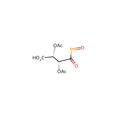 CC(=O)O[C@@H](C(=O)O)[C@@H](OC(C)=O)C(=O)P=O